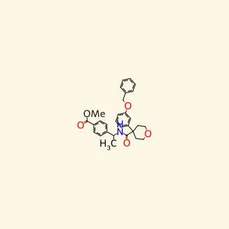 COC(=O)c1ccc(C(C)NC(=O)C2(c3cccc(OCc4ccccc4)c3)CCOCC2)cc1